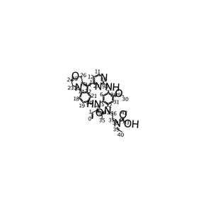 C=CC(=O)Nc1cc(Nc2nccc(-c3c4n(c5ccccc35)CCOC4)n2)c(OC)cc1N(CC)CCN(CC)C(=O)O